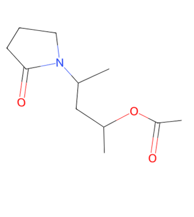 CC(=O)OC(C)CC(C)N1CCCC1=O